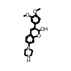 COc1ccc(C2=Cc3ccc(N4CCNCC4)cc3OC2O)cc1OC